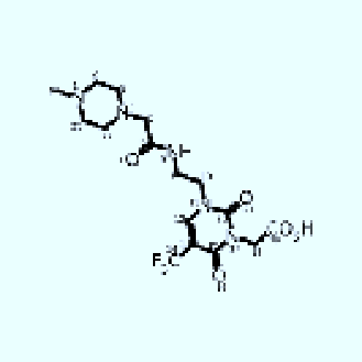 CN1CCN(CC(=O)NCCn2cc(C(F)(F)F)c(=O)n(CC(=O)O)c2=O)CC1